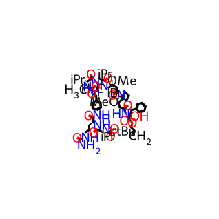 C=CCOC(=O)[C@](O)(Cc1ccccc1)NC(=O)C[C@@H](OC)[C@@H]1CCCN1C(=O)C[C@@H](OC)[C@H]([C@@H](C)CC)N(C)C(=O)[C@@H](NC(=O)[C@H](C(C)C)N(C)C(=O)OCc1ccc(NC(=O)[C@H](CCCNC(N)=O)NC(=O)C(NC(=O)OC(C)(C)C)C(C)C)cc1)C(C)C